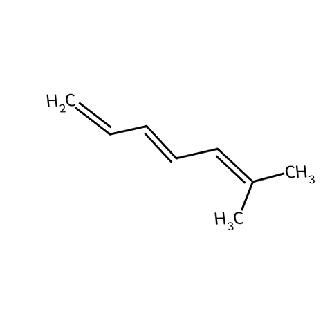 C=C/C=C/C=C(C)C